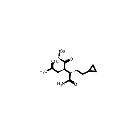 C=C(C)C[C@@H](C(=O)NC(C)(C)C)[C@H](CCC1CC1)C(N)=O